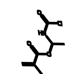 C=C(C)C(=O)OC(C)NC(=O)Cl